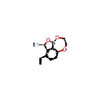 C=Cc1ccc2c3c1[C@@H](CC)OB3OCCO2